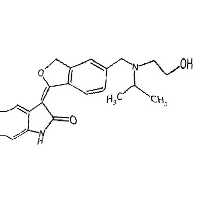 CC(C)N(CCO)Cc1ccc2c(c1)CO/C2=C1/C(=O)Nc2ccccc21